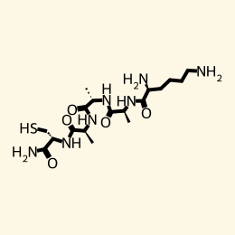 C[C@H](NC(=O)[C@H](C)NC(=O)[C@@H](N)CCCCN)C(=O)N[C@@H](C)C(=O)N[C@@H](CS)C(N)=O